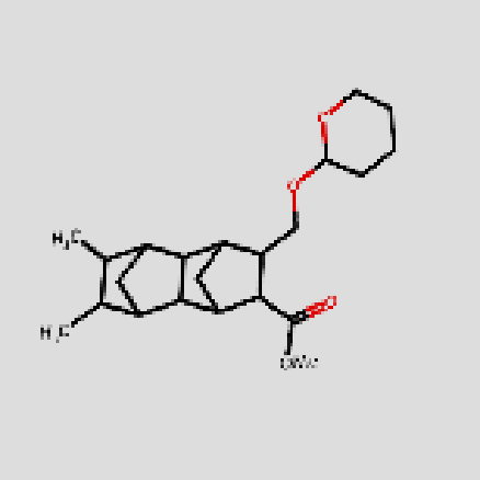 COC(=O)C1C(COC2CCCCO2)C2CC1C1C3CC(C(C)C3C)C21